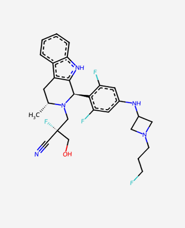 C[C@@H]1Cc2c([nH]c3ccccc23)[C@@H](c2c(F)cc(NC3CN(CCCF)C3)cc2F)N1C[C@](F)(C#N)CO